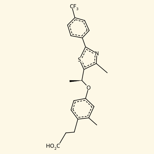 Cc1cc(O[C@@H](C)c2sc(-c3ccc(C(F)(F)F)cc3)nc2C)ccc1CCC(=O)O